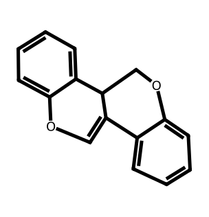 C1=C2c3ccccc3OCC2c2ccccc2O1